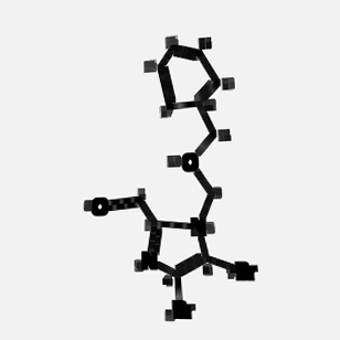 O=Cc1nc(Br)c(Br)n1COCc1ccccc1